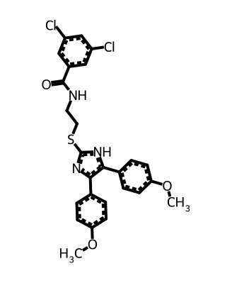 COc1ccc(-c2nc(SCCNC(=O)c3cc(Cl)cc(Cl)c3)[nH]c2-c2ccc(OC)cc2)cc1